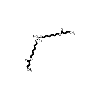 CC=CC(=O)OCCCCCCOP(=O)(O)OCCCCCCOC(=O)C=CC